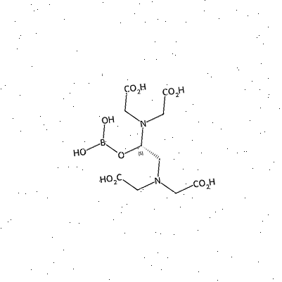 O=C(O)CN(CC(=O)O)C[C@H](OB(O)O)N(CC(=O)O)CC(=O)O